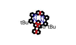 CC(C)(C)c1cc(Nc2c(-c3cccc(-c4ccccc4)c3)cc(C(C)(C)C)cc2-c2cccc(-c3ccccc3)c2)cc(Nc2c(-c3cccc(-c4ccccc4)c3)cc(C(C)(C)C)cc2-c2cccc(-c3ccccc3)c2)c1